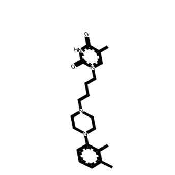 Cc1cccc(N2CCN(CCCCn3cc(C)c(=O)[nH]c3=O)CC2)c1C